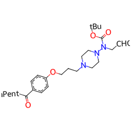 CCCCCC(=O)c1ccc(OCCCN2CCN(N(CC=O)C(=O)OC(C)(C)C)CC2)cc1